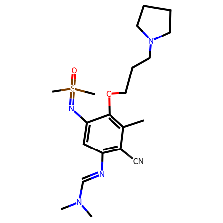 Cc1c(C#N)c(/N=C/N(C)C)cc(N=S(C)(C)=O)c1OCCCN1CCCC1